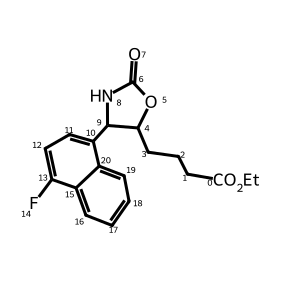 CCOC(=O)CCCC1OC(=O)NC1c1ccc(F)c2ccccc12